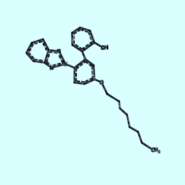 CCCCCCCCOc1ccc(-n2nc3ccccc3n2)c(-c2ccccc2O)c1